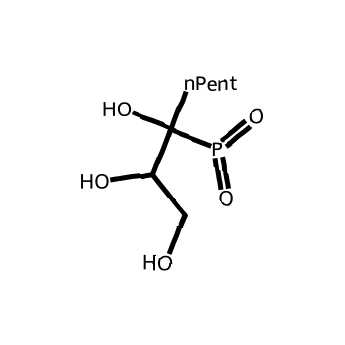 CCCCCC(O)(C(O)CO)P(=O)=O